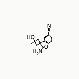 CC1(O)CC(C(N)=O)(c2cccc(C#N)c2)C1